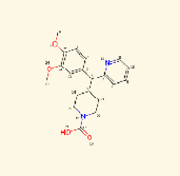 COc1ccc(C(c2ccccn2)C2CCN(C(=O)O)CC2)cc1OC